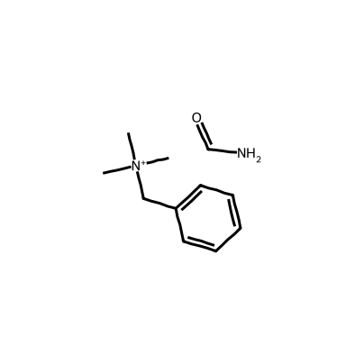 C[N+](C)(C)Cc1ccccc1.NC=O